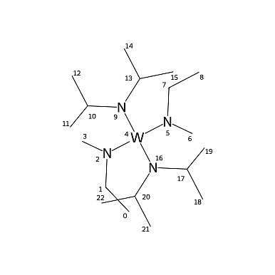 CC[N](C)[W]([N](C)CC)([N](C(C)C)C(C)C)[N](C(C)C)C(C)C